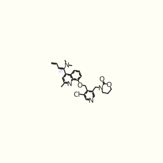 C=C/C=C(/c1cc(C)nc2c(OCc3c(Cl)cncc3CN3CCCOC3=O)cccc12)N(C)C